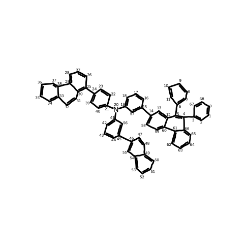 c1ccc(-c2c(-c3ccccc3)c3cc(-c4cccc(N(c5ccc(-c6cccc7c6ccc6ccccc67)cc5)c5cccc(-c6ccc7ccccc7c6)c5)c4)ccc3c3ccccc23)cc1